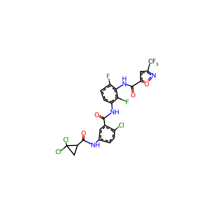 O=C(Nc1c(F)ccc(NC(=O)c2cc(NC(=O)C3CC3(Cl)Cl)ccc2Cl)c1F)c1cc(C(F)(F)F)no1